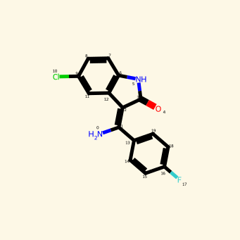 NC(=C1C(=O)Nc2ccc(Cl)cc21)c1ccc(F)cc1